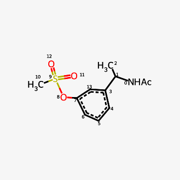 CC(=O)NC(C)c1cccc(OS(C)(=O)=O)c1